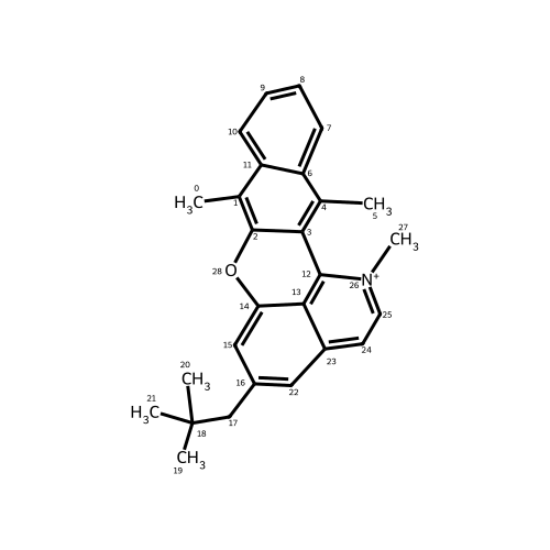 Cc1c2c(c(C)c3ccccc13)-c1c3c(cc(CC(C)(C)C)cc3cc[n+]1C)O2